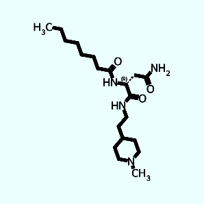 CCCCCCCC(=O)N[C@H](CC(N)=O)C(=O)NCCC1CCN(C)CC1